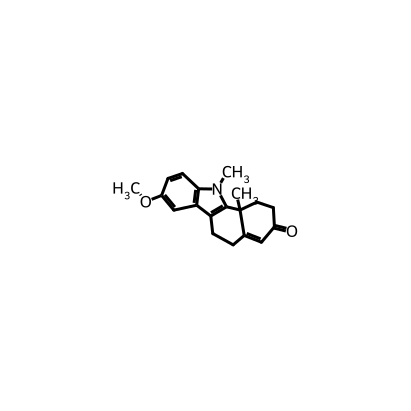 COc1ccc2c(c1)c1c(n2C)C2(C)CCC(=O)C=C2CC1